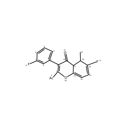 CC(=O)C1=C(c2cccc(F)c2)C(=O)C2C(=CC=C(F)C2C)O1